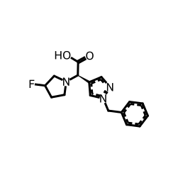 O=C(O)[C@@H](c1cnn(Cc2ccccc2)c1)N1CCC(F)C1